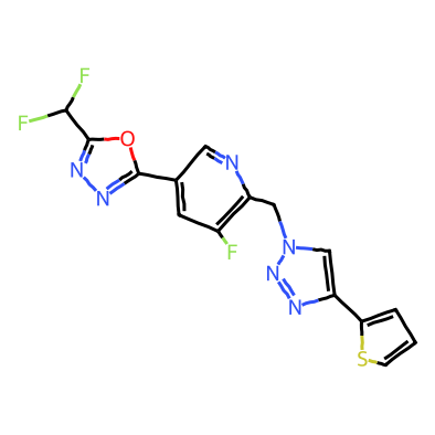 Fc1cc(-c2nnc(C(F)F)o2)cnc1Cn1cc(-c2cccs2)nn1